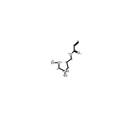 C=CC(=O)OCCC[SiH](CC)COCC